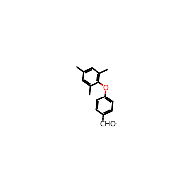 Cc1cc(C)c(Oc2ccc([C]=O)cc2)c(C)c1